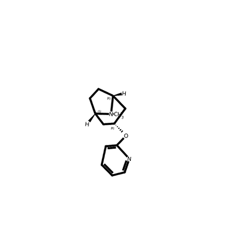 CN1[C@@H]2CC[C@H]1C[C@@H](Oc1ccccn1)C2